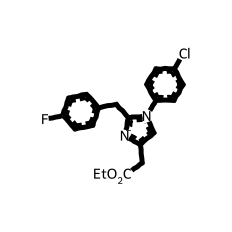 CCOC(=O)Cc1cn(-c2ccc(Cl)cc2)c(Cc2ccc(F)cc2)n1